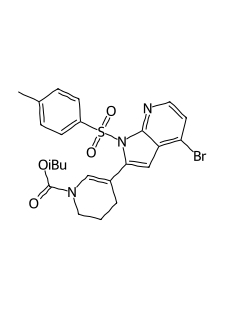 Cc1ccc(S(=O)(=O)n2c(C3=CN(C(=O)OCC(C)C)CCC3)cc3c(Br)ccnc32)cc1